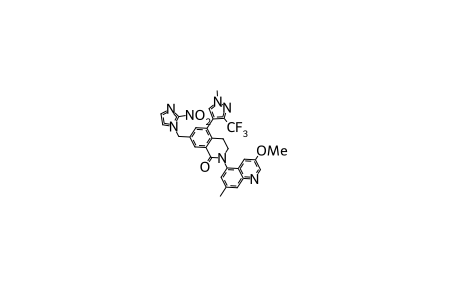 COc1cnc2cc(C)cc(N3CCc4c(cc(Cn5ccnc5[N+](=O)[O-])cc4-c4cn(C)nc4C(F)(F)F)C3=O)c2c1